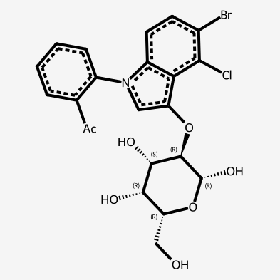 CC(=O)c1ccccc1-n1cc(O[C@@H]2[C@@H](O)[C@@H](O)[C@@H](CO)O[C@H]2O)c2c(Cl)c(Br)ccc21